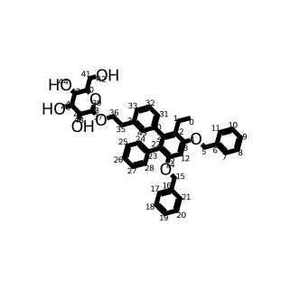 CCc1c(OCc2ccccc2)cc(OCc2ccccc2)c(-c2ccccc2)c1-c1cccc(CCOC2OC(CO)C(O)C(O)C2O)c1